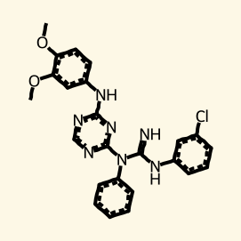 COc1ccc(Nc2ncnc(N(C(=N)Nc3cccc(Cl)c3)c3ccccc3)n2)cc1OC